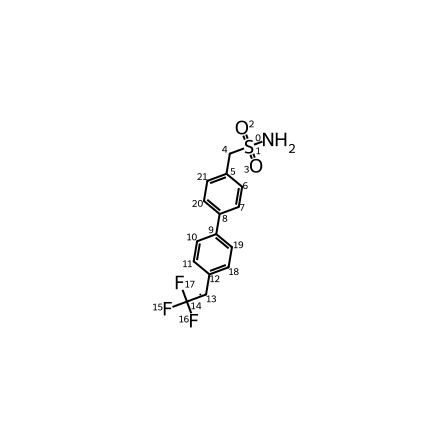 NS(=O)(=O)Cc1ccc(-c2ccc([CH]C(F)(F)F)cc2)cc1